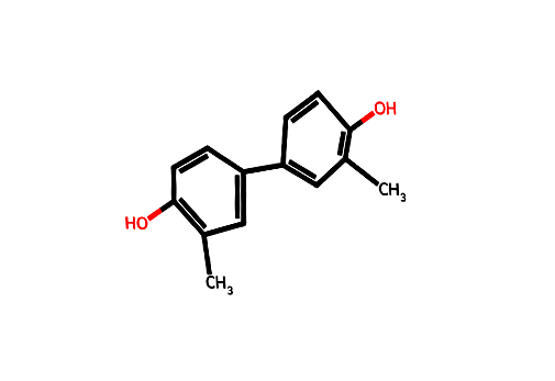 Cc1cc(-c2ccc(O)c(C)c2)ccc1O